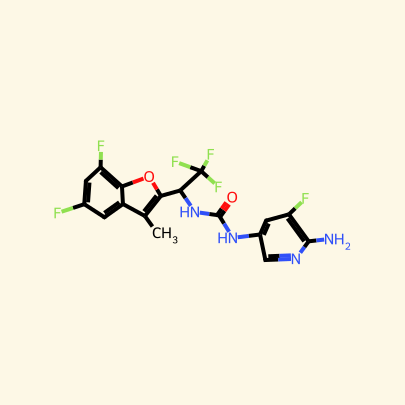 Cc1c(C(NC(=O)Nc2cnc(N)c(F)c2)C(F)(F)F)oc2c(F)cc(F)cc12